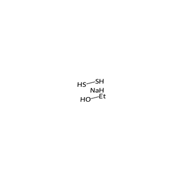 CCO.SS.[NaH]